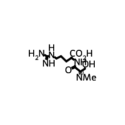 CN[C@@H](CO)C(=O)NC(CCCNC(=N)N)C(=O)O